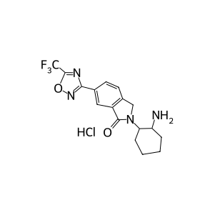 Cl.NC1CCCCC1N1Cc2ccc(-c3noc(C(F)(F)F)n3)cc2C1=O